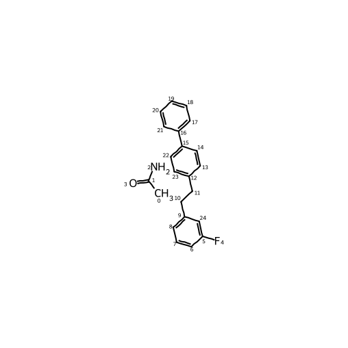 CC(N)=O.Fc1cccc(CCc2ccc(-c3ccccc3)cc2)c1